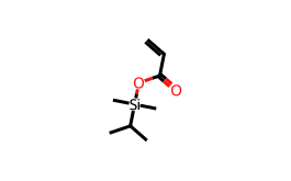 C=CC(=O)O[Si](C)(C)C(C)C